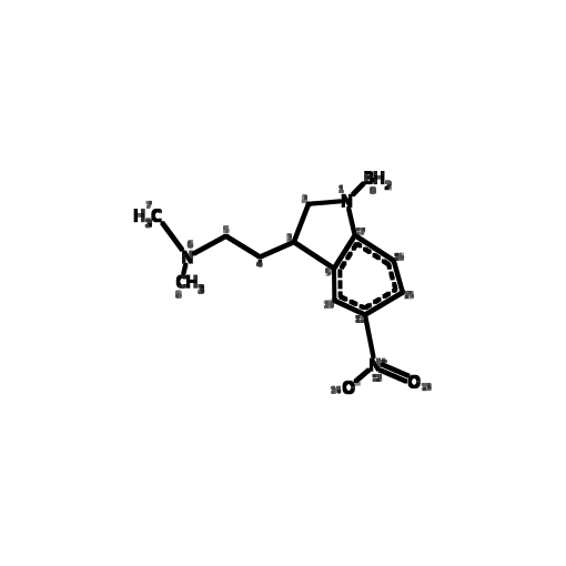 BN1CC(CCN(C)C)c2cc([N+](=O)[O-])ccc21